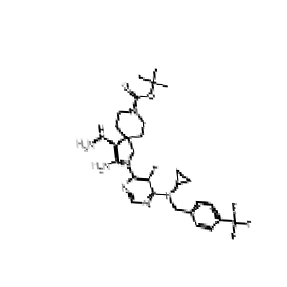 CC(C)(C)OC(=O)N1CCC(CNc2ncnc(N(Cc3ccc(C(F)(F)F)cc3)C3CC3)c2F)(/C(=C/N)NN)CC1